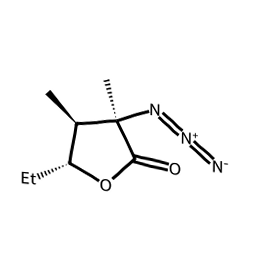 CC[C@H]1OC(=O)[C@](C)(N=[N+]=[N-])[C@@H]1C